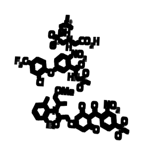 CCc1cccc(C)c1N(C(=O)CCl)C(C)COC.CS(=O)(=O)NC(=O)c1cc(Oc2ccc(C(F)(F)F)cc2Cl)ccc1[N+](=O)[O-].CS(=O)(=O)c1ccc(C(=O)C2C(=O)CCCC2=O)c([N+](=O)[O-])c1.C[S+](C)C.O=C(O)CNCP(=O)([O-])O